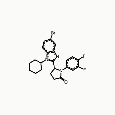 O=C1CC[C@@H](c2nc3cc(Br)ccc3n2C2CCCCC2)N1c1ccc(F)c(F)c1